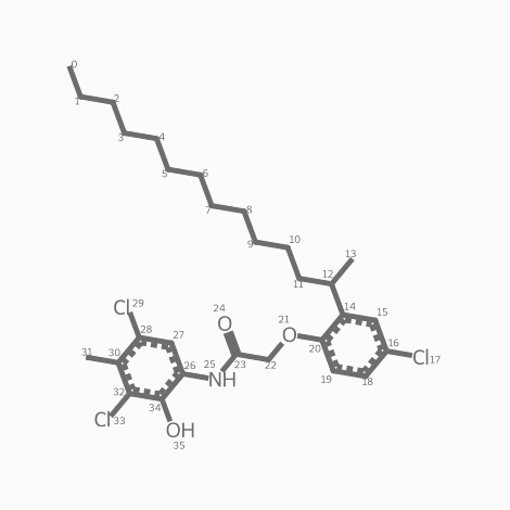 CCCCCCCCCCCCC(C)c1cc(Cl)ccc1OCC(=O)Nc1cc(Cl)c(C)c(Cl)c1O